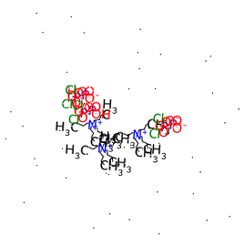 CCCC[N+](CCCC)(CCCC)CCCC.CCCC[N+](CCCC)(CCCC)CCCC.CCCC[N+](CCCC)(CCCC)CCCC.O=P(O)(O)CP(=O)(OCl)OCl.O=P([O-])(O)CP(=O)(OCl)OCl.O=P([O-])([O-])CP(=O)(OCl)OCl